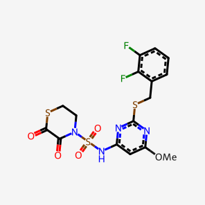 COc1cc(NS(=O)(=O)N2CCSC(=O)C2=O)nc(SCc2cccc(F)c2F)n1